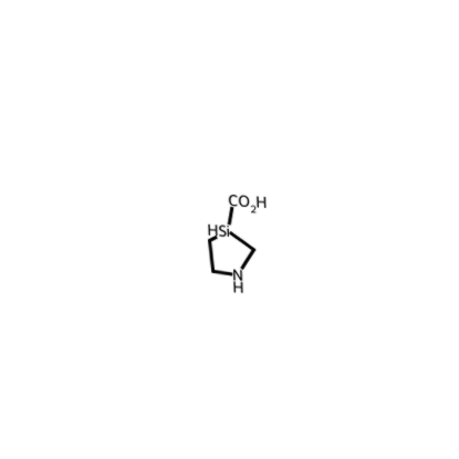 O=C(O)[SiH]1CCNC1